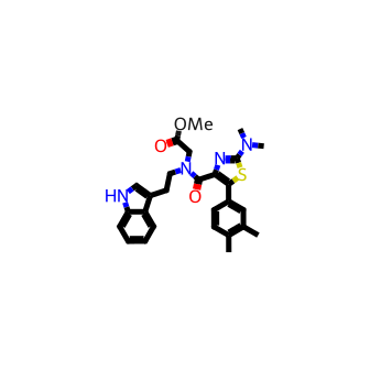 COC(=O)CN(CCc1c[nH]c2ccccc12)C(=O)c1nc(N(C)C)sc1-c1ccc(C)c(C)c1